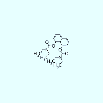 CCN(CC)C(=O)Oc1cccc2cccc(OC(=O)N(CC)CC)c12